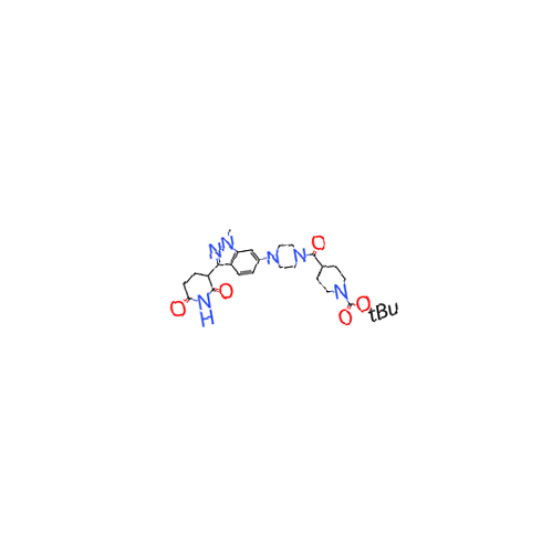 Cn1nc(C2CCC(=O)NC2=O)c2ccc(N3CCN(C(=O)C4CCN(C(=O)OC(C)(C)C)CC4)CC3)cc21